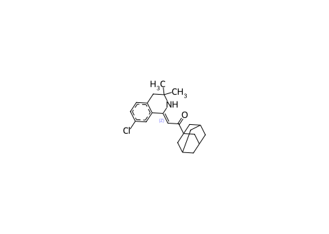 CC1(C)Cc2ccc(Cl)cc2/C(=C/C(=O)C23CC4CC(CC(C4)C2)C3)N1